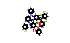 c1ccc(N2c3cc4c(cc3B3c5c2cccc5N(c2ccccc2)c2cc5c6c(c23)Sc2ccccc2B6c2ccccc2O5)B2c3ccccc3Sc3cccc(c32)S4)cc1